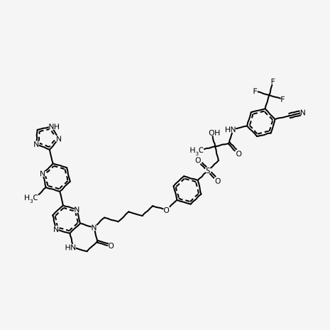 Cc1nc(-c2nc[nH]n2)ccc1-c1cnc2c(n1)N(CCCCCOc1ccc(S(=O)(=O)CC(C)(O)C(=O)Nc3ccc(C#N)c(C(F)(F)F)c3)cc1)C(=O)CN2